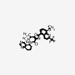 COc1ccc(-c2nc(C(=O)NC3CCCc4ncncc43)c([C@H](C)N)o2)c2ccc(C(F)(F)F)nc12